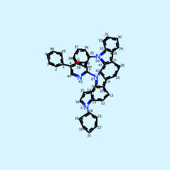 c1ccc(-c2ccc(-n3c4c(ccc5c4ccn5-c4ccccc4)c4ccc5c6ccccc6n(-c6ccccc6)c5c43)nc2)cc1